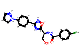 O=C(NC(CO)c1nc(-c2ccc(-n3cccn3)cc2)no1)c1ccc(F)cc1